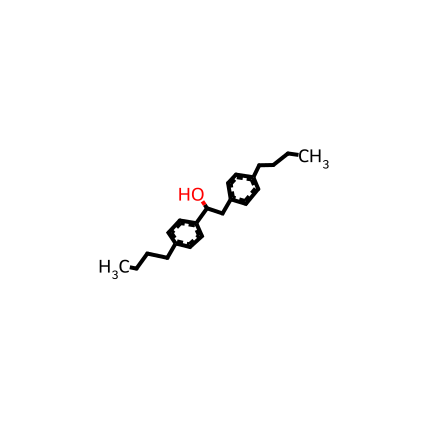 CCCCc1ccc(CC(O)c2ccc(CCCC)cc2)cc1